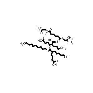 CC(C)COC(=O)CCCCC(=O)OCC(C)C.CCCCC(CCCC(=O)O)C(=O)O.CCCCCCCCCCOC(=O)C(CCCCCC)CCCC(=O)O